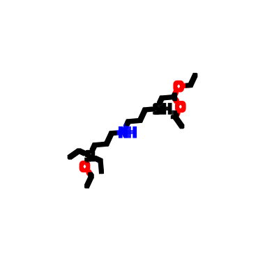 CCOC(C[SiH2]CCCNCCC[Si](CC)(CC)OCC)OCC